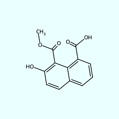 COC(=O)c1c(O)ccc2cccc(C(=O)O)c12